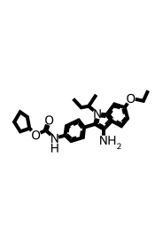 CCOc1ccc2c(N)c(-c3ccc(NC(=O)OC4CCCC4)cc3)n(C(C)CC)c2c1